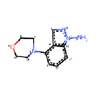 Nn1ncc2c(N3CCOCC3)cccc21